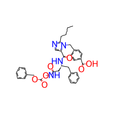 CCCCc1ncc(C(=O)N[C@H](CC(=O)NOC(=O)OCc2ccccc2)Cc2ccccc2)n1Cc1ccc(C(=O)O)cc1